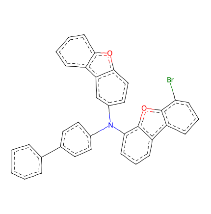 Brc1cccc2c1oc1c(N(c3ccc(-c4ccccc4)cc3)c3ccc4oc5ccccc5c4c3)cccc12